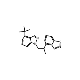 CC(Cn1ncc2c(C(C)(C)C)cccc21)c1cccc2sncc12